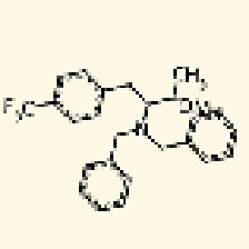 CO[C@@H](C)[C@H](Cc1ccc(C(F)(F)F)cc1)N(Cc1ccccc1)Cc1ccccc1